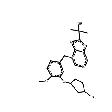 COc1ccc(Cn2cncc3nc(C(C)(C)O)nc2-3)cc1OC1CCC(O)C1